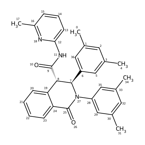 Cc1cc(C)cc([C@@H]2[C@@H](C(=O)Nc3cccc(C)n3)c3ccccc3C(=O)N2c2cc(C)cc(C)c2)c1